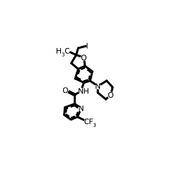 CC1(CI)Cc2cc(NC(=O)c3cccc(C(F)(F)F)n3)c(N3CCOCC3)cc2O1